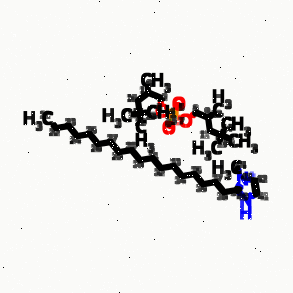 CC(COP(=O)([O-])OCC(C)CC(C)(C)C)CC(C)(C)C.CCCCCCCCCCCCCCCCCCc1[nH]cc[n+]1C